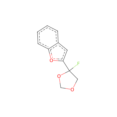 FC1(c2cc3ccccc3o2)COCO1